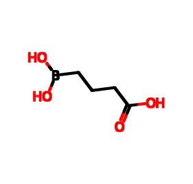 O=C(O)CCCB(O)O